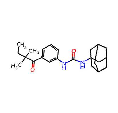 CCC(C)(C)C(=O)c1cccc(NC(=O)NC23CC4CC(CC(C4)C2)C3)c1